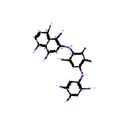 Cc1c(I)c([I+]c2cc(I)c(I)cc2I)cc(I)c1[I+]c1cc(I)c2c(I)ccc(I)c2c1I